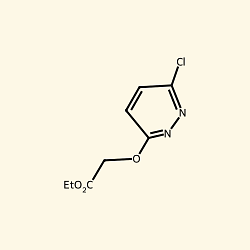 CCOC(=O)COc1ccc(Cl)nn1